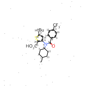 CC1CCC(N(C(=O)c2ccc(C(F)(F)F)cc2)c2cc(C(C)(C)C)sc2C(=O)O)CC1